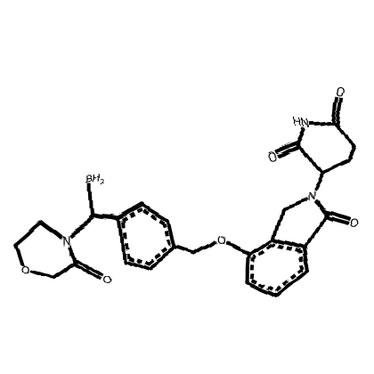 BC(c1ccc(COc2cccc3c2CN(C2CCC(=O)NC2=O)C3=O)cc1)N1CCOCC1=O